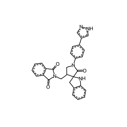 O=C1c2ccccc2C(=O)N1CC1CN(c2ccc(-c3cn[nH]c3)cc2)C(=O)C12Cc1ccccc1N2